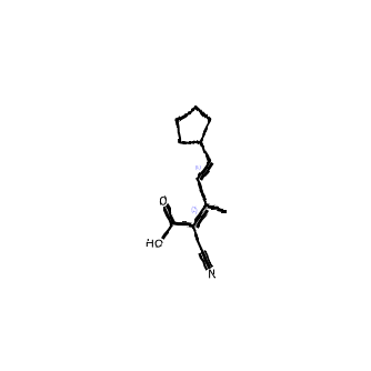 CC(/C=C/C1CCCC1)=C(\C#N)C(=O)O